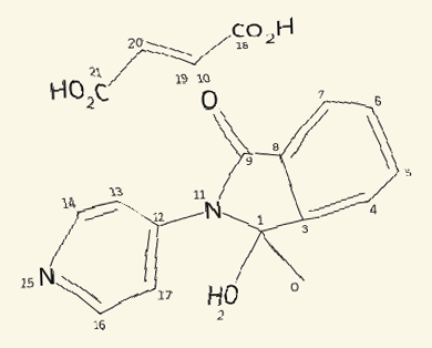 CC1(O)c2ccccc2C(=O)N1c1ccncc1.O=C(O)C=CC(=O)O